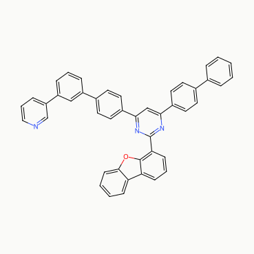 c1ccc(-c2ccc(-c3cc(-c4ccc(-c5cccc(-c6cccnc6)c5)cc4)nc(-c4cccc5c4oc4ccccc45)n3)cc2)cc1